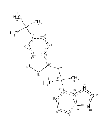 CC(C)(C)c1ccc2c(c1)CCC2CC(C)(C)c1cccc2nsnc12